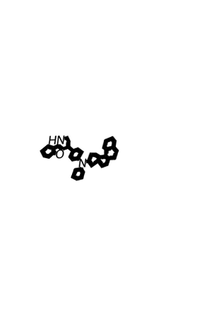 C1=C(c2ccc(N(c3ccccc3)c3ccc4c(ccc5ccc6ccccc6c54)c3)cc2)c2oc3ccccc3c2NC1